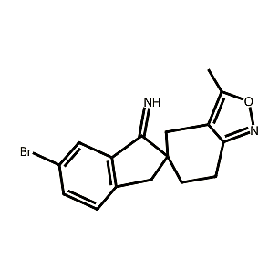 Cc1onc2c1CC1(CC2)Cc2ccc(Br)cc2C1=N